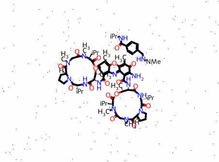 CNNCc1ccc(C(=O)NC(C)C)cc1.Cc1c2oc3c(C)ccc(C(=O)N[C@@H]4C(=O)N[C@H](C(C)C)C(=O)N5CCC[C@H]5C(=O)N(C)CC(=O)N(C)[C@@H](C(C)C)C(=O)O[C@@H]4C)c3nc-2c(C(=O)N[C@@H]2C(=O)N[C@H](C(C)C)C(=O)N3CCC[C@H]3C(=O)N(C)CC(=O)N(C)[C@@H](C(C)C)C(=O)O[C@@H]2C)c(N)c1=O